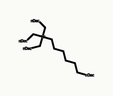 CCCCCCCCCCCCCCCC[N+](CCCCCCCCCCC)(CCCCCCCCCCC)CCCCCCCCCCC